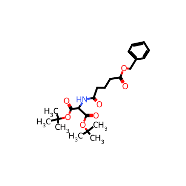 CC(C)(C)OC(=O)C(NC(=O)CCCC(=O)OCc1ccccc1)C(=O)OC(C)(C)C